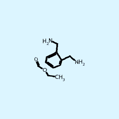 CCOC=O.NCc1ccccc1CN